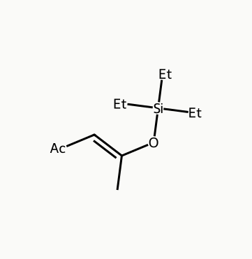 CC[Si](CC)(CC)OC(C)=CC(C)=O